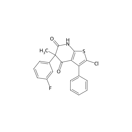 CC1(c2cccc(F)c2)C(=O)Nc2sc(Cl)c(-c3ccccc3)c2C1=O